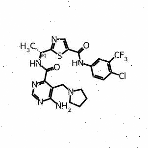 C[C@@H](NC(=O)c1ncnc(N)c1CN1CCCC1)c1ncc(C(=O)Nc2ccc(Cl)c(C(F)(F)F)c2)s1